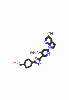 CNc1cc(-n2ccc3cc(C#N)cnc32)ncc1-c1nnc(C2CCC(CO)CC2)s1